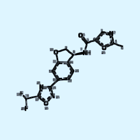 Cc1ncc(C(=O)N[C@@H]2COc3cc(-c4noc(C(F)F)n4)ccc32)o1